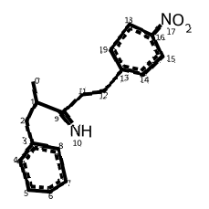 CC(Cc1ccccc1)C(=N)CCc1ccc([N+](=O)[O-])cc1